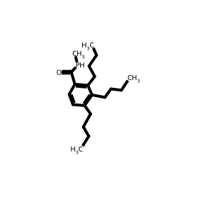 CCCCc1ccc(C(=O)PC)c(CCCC)c1CCCC